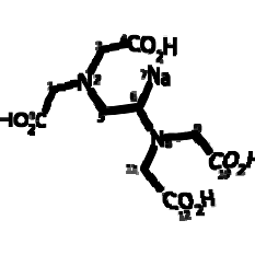 O=C(O)CN(CC(=O)O)C[CH]([Na])N(CC(=O)O)CC(=O)O